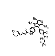 Cn1c(-c2ccc(NC(=O)/C=C/CN3CCCOCC3)cc2)c(-c2ccc(C(=O)NCC(F)(F)F)c(Cl)c2)c2c(N)ncc(Br)c21